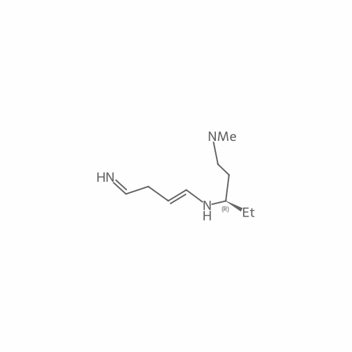 CC[C@H](CCNC)NC=CCC=N